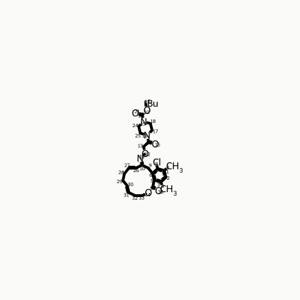 Cc1cc(C)c2c(c1Cl)CC(=N\OCC(=O)N1CCN(C(=O)OC(C)(C)C)CC1)/C=C/CC/C=C/CCOC2=O